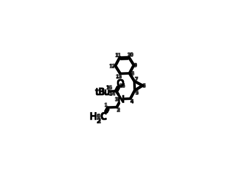 C=CCN(CC1CC1C1CC=CCC1)C(=O)C(C)(C)C